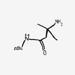 CC(C)(C)NC(=O)C(C)(C)N